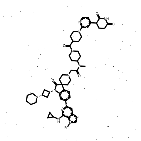 CC(C)n1cnc2cc(-c3ccc4c(c3)N([C@H]3C[C@@H](N5CCCCC5)C3)C(=O)C43CCN(CC(=O)N(C)C4CCN(C(=O)C5CCN(c6cc(C7CCC(=O)NC7=O)ccn6)CC5)CC4)CC3)nc(NC3CC3)c21